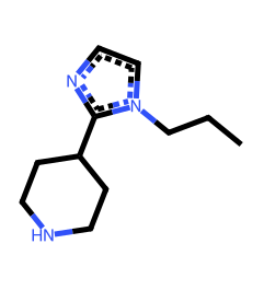 CCCn1ccnc1C1CCNCC1